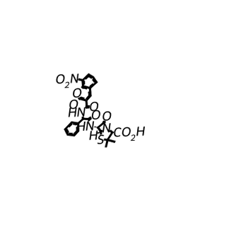 CC1(C)S[C@@H]2[C@H](NC(=O)C(NC(=O)c3cc4cccc([N+](=O)[O-])c4oc3=O)c3ccccc3)C(=O)N2[C@H]1C(=O)O